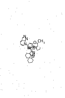 C[C@H](Oc1cc(-n2cccc3cnnc2-3)nc(-c2noc3c2CCC[C@@]32CCCCC2=O)n1)[C@@H]1CCCN1C